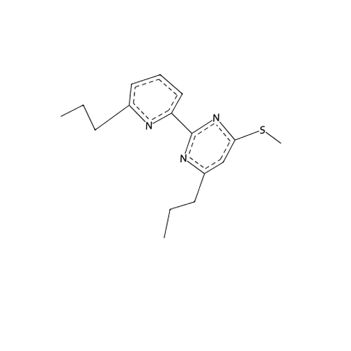 CCCc1cccc(-c2nc(CCC)cc(SC)n2)n1